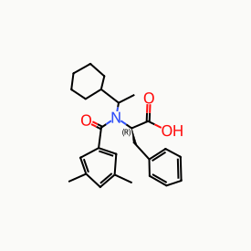 Cc1cc(C)cc(C(=O)N(C(C)C2CCCCC2)[C@H](Cc2ccccc2)C(=O)O)c1